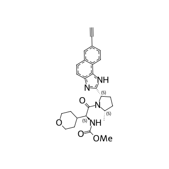 C#Cc1ccc2c(ccc3nc([C@@H]4CC[C@H](C)N4C(=O)[C@@H](NC(=O)OC)C4CCOCC4)[nH]c32)c1